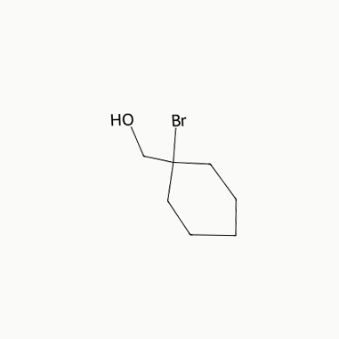 OCC1(Br)CCCCC1